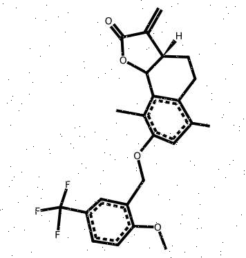 C=C1C(=O)OC2c3c(C)c(OCc4cc(C(F)(F)F)ccc4OC)cc(C)c3CC[C@@H]12